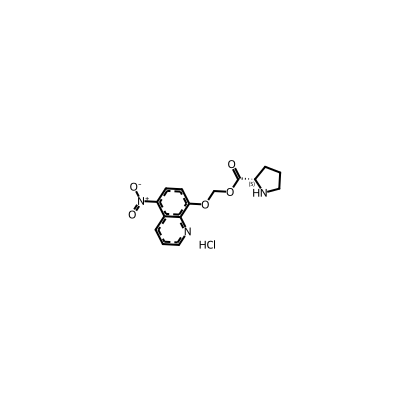 Cl.O=C(OCOc1ccc([N+](=O)[O-])c2cccnc12)[C@@H]1CCCN1